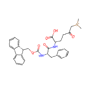 C[S+](C)CC(=O)CCC(NC(=O)C(Cc1ccccc1)NC(=O)OCC1c2ccccc2-c2ccccc21)C(=O)O